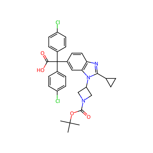 CC(C)(C)OC(=O)N1CC(n2c(C3CC3)nc3ccc(C(C(=O)O)(c4ccc(Cl)cc4)c4ccc(Cl)cc4)cc32)C1